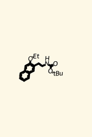 CCOc1cc2ccccc2cc1CCNC(=O)OC(C)(C)C